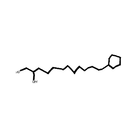 OCC(O)CCCCCCCCCCC1CCCCC1